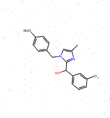 COc1ccc(Cn2cc(I)nc2C(O)c2cccc(C(F)(F)F)c2)cc1